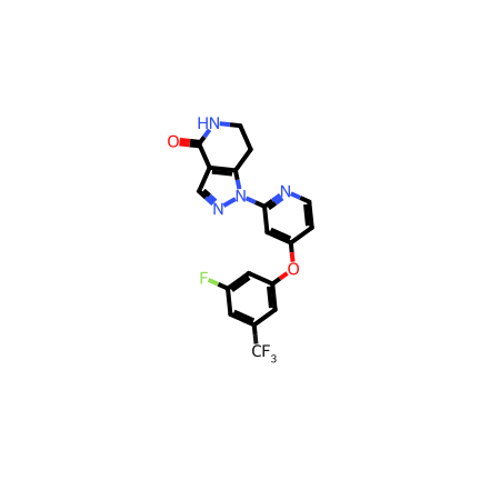 O=C1NCCc2c1cnn2-c1cc(Oc2cc(F)cc(C(F)(F)F)c2)ccn1